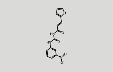 O=C(/C=C/c1ccco1)NC(=S)Nc1cccc([N+](=O)[O-])c1